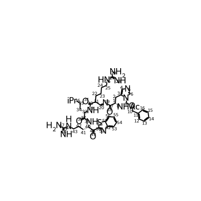 CC(=O)N[C@@H](Cc1cncn1COCc1ccccc1)C(=O)/N=C/C(CCCCNC(=N)N)C(=O)N[C@@H](CCC(C)C)C(=O)N[C@@H](CCCNC(=N)N)C(=O)c1nc2ccccc2s1